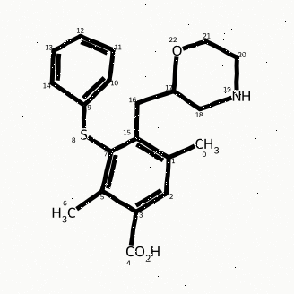 Cc1cc(C(=O)O)c(C)c(Sc2ccccc2)c1CC1CNCCO1